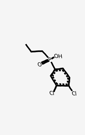 CCCP(=O)(O)c1ccc(Cl)c(Cl)c1